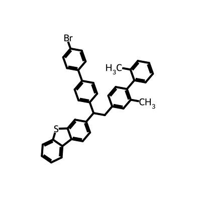 Cc1ccccc1-c1ccc(CC(c2ccc(-c3ccc(Br)cc3)cc2)c2ccc3c(c2)sc2ccccc23)cc1C